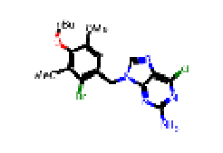 CCCCOc1c(OC)cc(Cn2cnc3c(Cl)nc(N)nc32)c(Br)c1OC